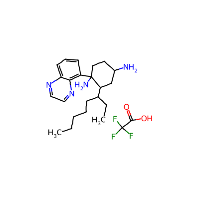 CCCCCC(CC)C1CC(N)CCC1(N)c1cccc2nccnc12.O=C(O)C(F)(F)F